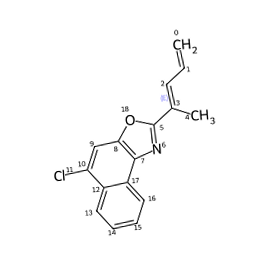 C=C/C=C(\C)c1nc2c(cc(Cl)c3ccccc32)o1